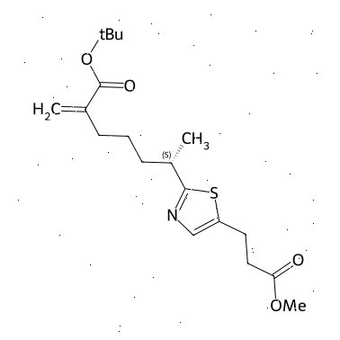 C=C(CCC[C@H](C)c1ncc(CCC(=O)OC)s1)C(=O)OC(C)(C)C